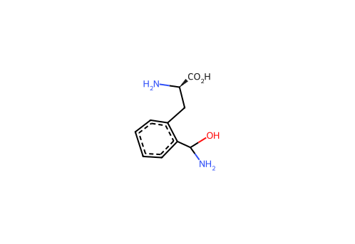 NC(O)c1ccccc1C[C@@H](N)C(=O)O